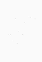 COCOc1ccc(F)cc1C(C(=O)Nc1ccccn1)N1Cc2ncc(Br)cc2C1=O